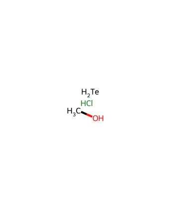 CO.Cl.[TeH2]